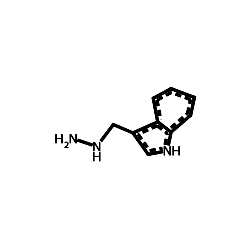 NNCc1c[nH]c2ccccc12